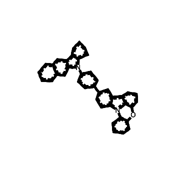 c1ccc2c(c1)Oc1cccc3c4cc(-c5ccc(-n6c7ccccc7c7cc8ccccc8cc76)cc5)ccc4n-2c13